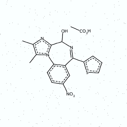 CC(=O)O.Cc1nc2n(c1C)-c1ccc([N+](=O)[O-])cc1C(c1cccs1)=NC2O